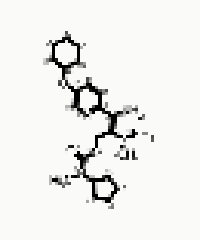 CN(N)/C(COC(=O)N(C)C1CCCC1)=C(\N)c1ccc(OC2CCCCC2)cn1